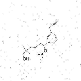 C#CCc1cccc(C(CCCC(C)(C)CO)OPI)c1